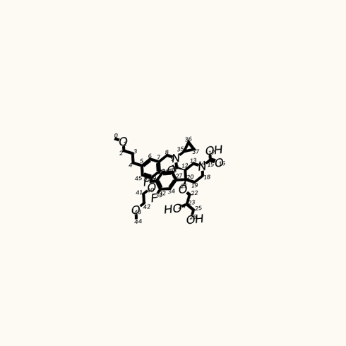 COCCCc1cc(CN(C(=O)[C@H]2CN(C(=O)O)CC[C@]2(OCC(O)CO)c2ccc(F)c(F)c2)C2CC2)cc(OCCOC)c1